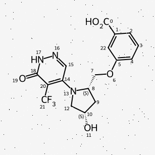 O=C(O)c1cccc(OC[C@@H]2C[C@H](O)CN2c2cn[nH]c(=O)c2C(F)(F)F)c1